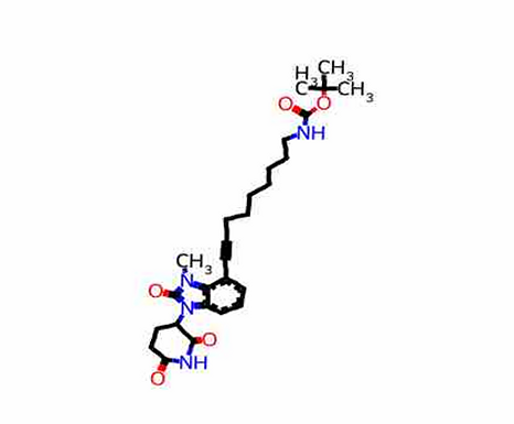 Cn1c(=O)n(C2CCC(=O)NC2=O)c2cccc(C#CCCCCCCCNC(=O)OC(C)(C)C)c21